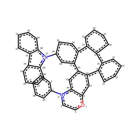 c1ccc(-n2ccoc3cc4c5ccccc5c5ccccc5c5ccc(-n6c7ccccc7c7ccccc76)cc5c4cc32)cc1